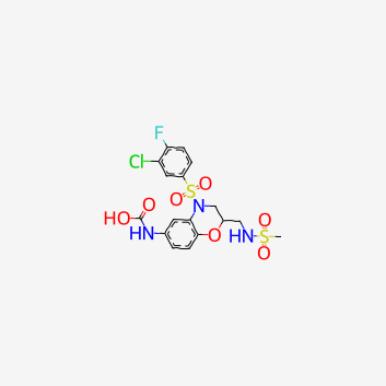 CS(=O)(=O)NCC1CN(S(=O)(=O)c2ccc(F)c(Cl)c2)c2cc(NC(=O)O)ccc2O1